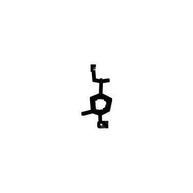 C[C](CF)c1ccc(C#N)c(C)c1